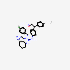 COc1ccc(C(CC(N)=O)c2ccc(N/C(=N/C3CCCCC3)N(CCN(C)C)Cc3ccc(Cl)cc3)cc2)cc1